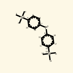 C[Si](C)(C)c1ccc([P]c2ccc([Si](C)(C)C)cc2)cc1